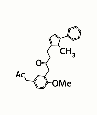 COc1ccc(CC(C)=O)cc1CC(=O)CCC1=CC=C(c2ccccc2)C1C